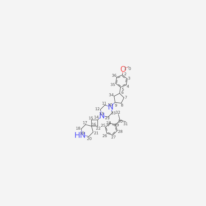 COc1ccc(C2CCC(N3CCN(C4CC5(CCNCC5)C4)[C@@H](c4ccccc4C(C)C)C3)C2)cc1